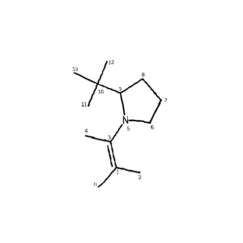 CC(C)=C(C)N1CCCC1C(C)(C)C